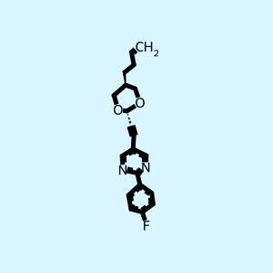 C=CCC[C@H]1CO[C@H](C#Cc2cnc(-c3ccc(F)cc3)nc2)OC1